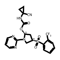 N#CC1(NC(=O)O[C@H]2C[C@@H](S(=O)(=O)c3ccccc3C(F)(F)F)CN2c2ncccn2)CC1